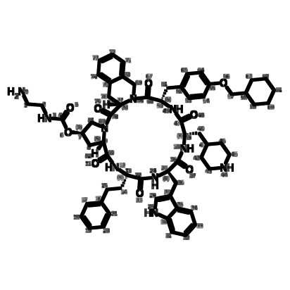 NCCNC(=O)O[C@@H]1C[C@H]2C(=O)N[C@@H](CCc3ccccc3)C(=O)N[C@H](Cc3c[nH]c4ccccc34)C(=O)N[C@@H](CC3CCNCC3)C(=O)N[C@@H](Cc3ccc(OCC4CCCCC4)cc3)C(=O)N3Cc4ccccc4C[C@H]3C(=O)N2C1